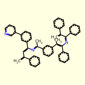 C=C(/C=C(\N=C(/C)c1cccc(/C(C)=C(/N=C(\C(=C)c2ccccc2)c2ccccc2)c2ccccc2)c1)c1cccc(-c2cccnc2)c1)c1ccccc1